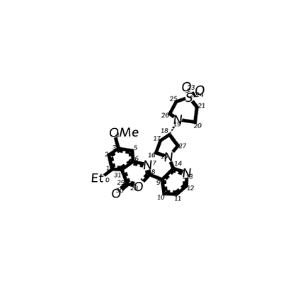 CCc1cc(OC)cc2nc(-c3cccnc3N3CC[C@H](N4CCS(=O)(=O)CC4)C3)oc(=O)c12